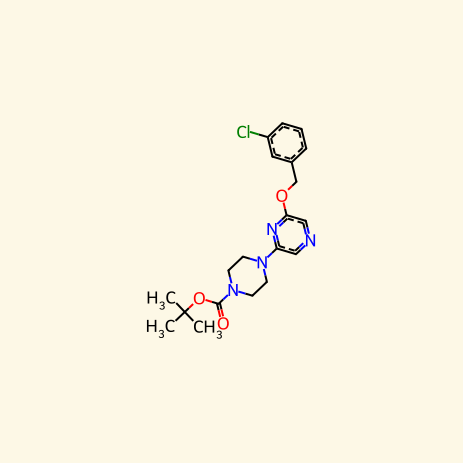 CC(C)(C)OC(=O)N1CCN(c2cncc(OCc3cccc(Cl)c3)n2)CC1